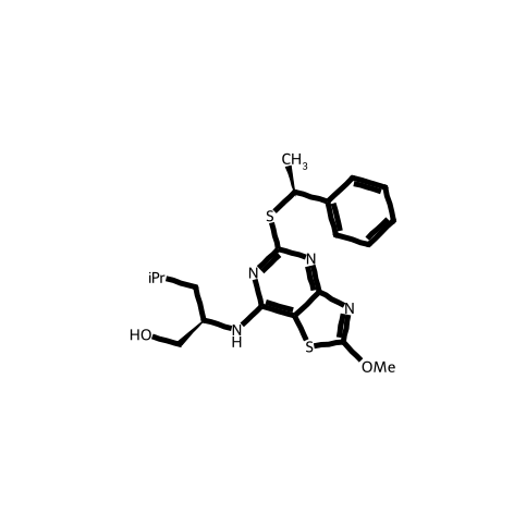 COc1nc2nc(S[C@@H](C)c3ccccc3)nc(N[C@@H](CO)CC(C)C)c2s1